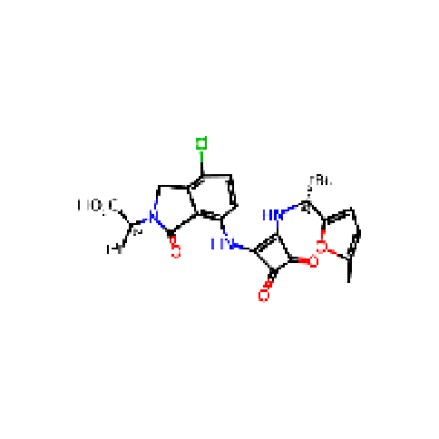 Cc1ccc([C@H](Nc2c(Nc3ccc(Cl)c4c3C(=O)N([C@H](C(=O)O)C(C)C)C4)c(=O)c2=O)C(C)(C)C)o1